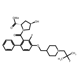 COC(=O)[C@@H]1C[C@@H](O)CN1C(=O)c1c(-c2ccccc2)ccc(OCC2CCN(CC(C)(C)F)CC2)c1F